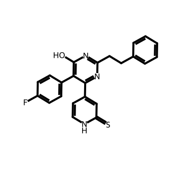 Oc1nc(CCc2ccccc2)nc(-c2cc[nH]c(=S)c2)c1-c1ccc(F)cc1